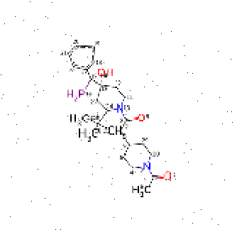 CC(=O)N1CCC(CC(=O)N2CC[C@](O)(C(P)c3ccccc3)CC2C(C)(C)C)CC1